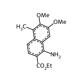 CCOC(=O)c1ccc2c(C)c(OC)c(OC)cc2c1N